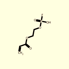 C=CC(=O)OCCOP(=O)(O)F